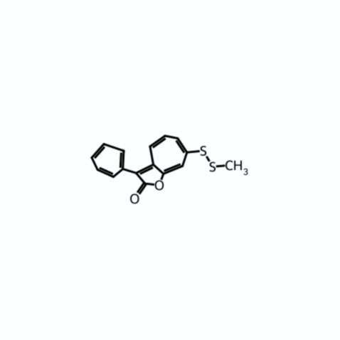 CSSc1cccc2c(-c3ccccc3)c(=O)oc-2c1